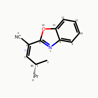 CC(C)[C@@H](C)/C=C(/C#N)c1nc2ccccc2o1